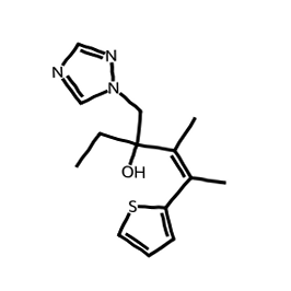 CCC(O)(Cn1cncn1)/C(C)=C(/C)c1cccs1